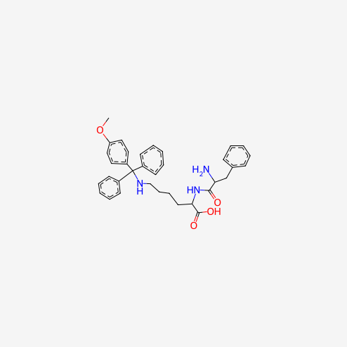 COc1ccc(C(NCCCCC(NC(=O)C(N)Cc2ccccc2)C(=O)O)(c2ccccc2)c2ccccc2)cc1